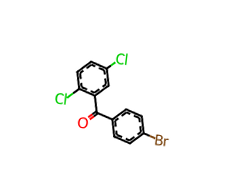 O=C(c1ccc(Br)cc1)c1cc(Cl)ccc1Cl